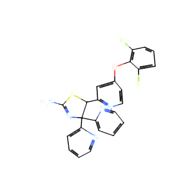 NC1=NC(c2ccccn2)(c2ccccn2)C(c2cc(Oc3c(F)cccc3F)ccn2)S1